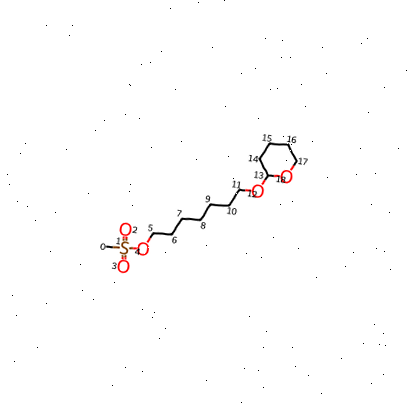 CS(=O)(=O)OCCCCCCCOC1CCCCO1